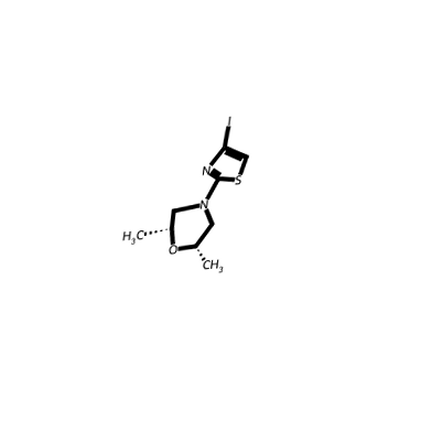 C[C@@H]1CN(c2nc(I)cs2)C[C@H](C)O1